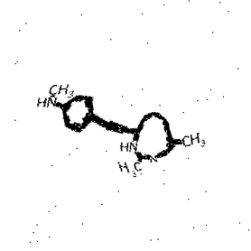 CNc1ccc(C#Cc2cccc(C)cnc(C)[nH]2)cc1